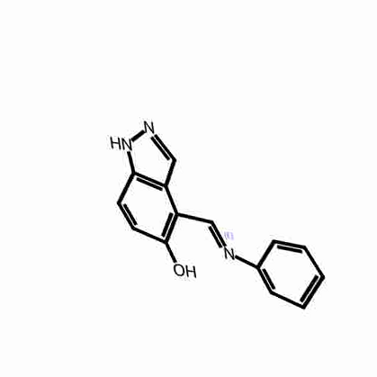 Oc1ccc2[nH]ncc2c1/C=N/c1ccccc1